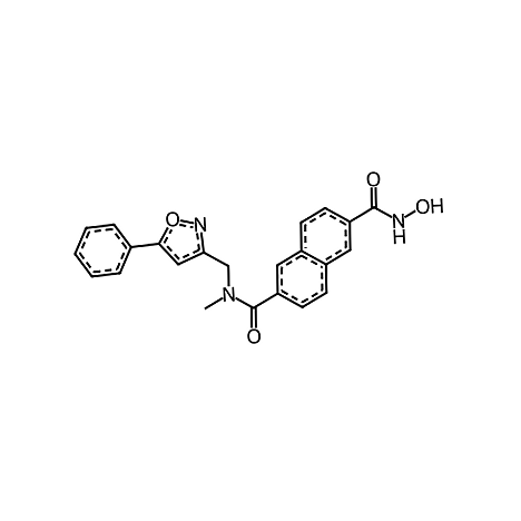 CN(Cc1cc(-c2ccccc2)on1)C(=O)c1ccc2cc(C(=O)NO)ccc2c1